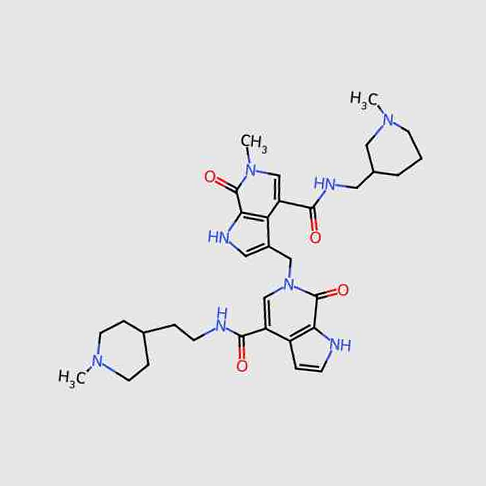 CN1CCC(CCNC(=O)c2cn(Cc3c[nH]c4c(=O)n(C)cc(C(=O)NCC5CCCN(C)C5)c34)c(=O)c3[nH]ccc23)CC1